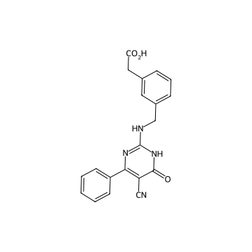 N#Cc1c(-c2ccccc2)nc(NCc2cccc(CC(=O)O)c2)[nH]c1=O